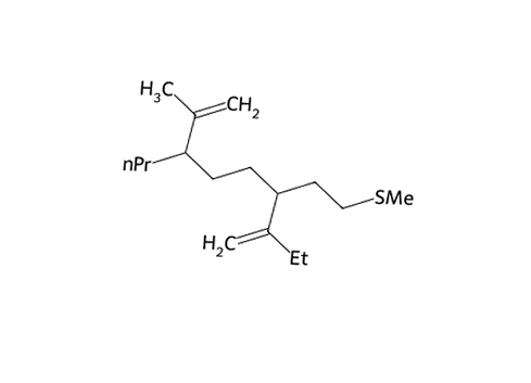 C=C(C)C(CCC)CCC(CCSC)C(=C)CC